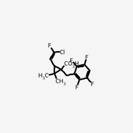 CC1(C)C(C=C(F)Cl)C1(Cc1c(F)c(F)cc(F)c1F)C(=O)O